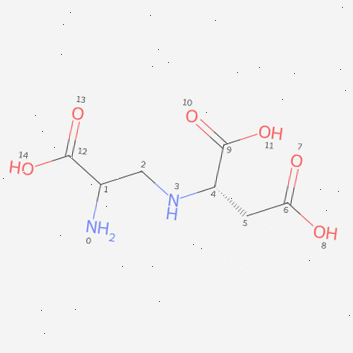 NC(CN[C@@H](CC(=O)O)C(=O)O)C(=O)O